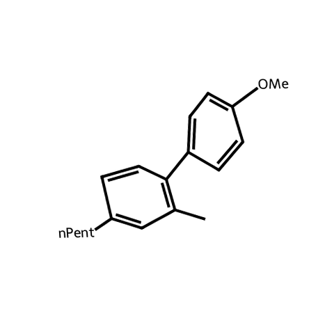 CCCCCc1ccc(-c2ccc(OC)cc2)c(C)c1